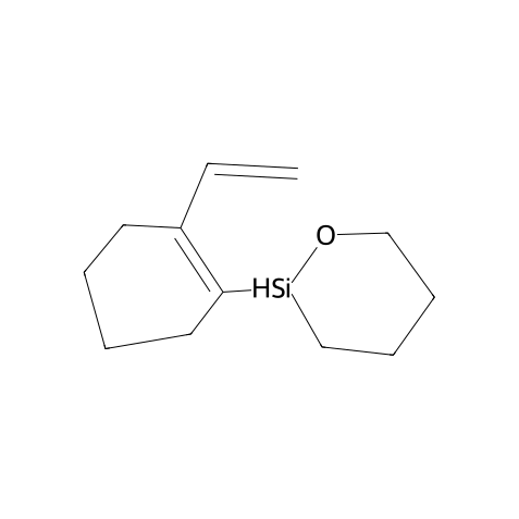 C=CC1=C([SiH]2CCCCO2)CCCC1